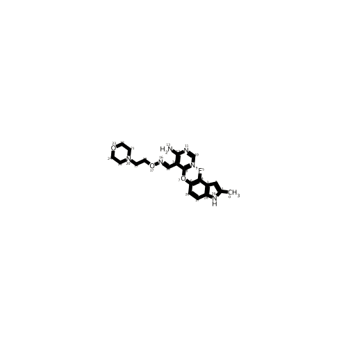 Cc1cc2c(F)c(Oc3ncnc(N)c3C=NOCCN3CCOCC3)ccc2[nH]1